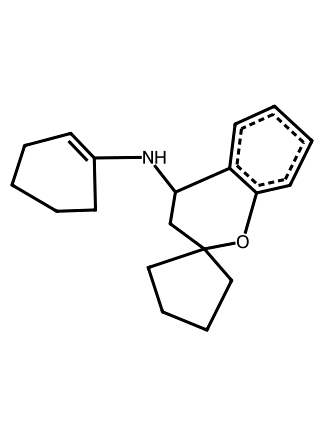 C1=C(NC2CC3(CCCC3)Oc3ccccc32)CCCC1